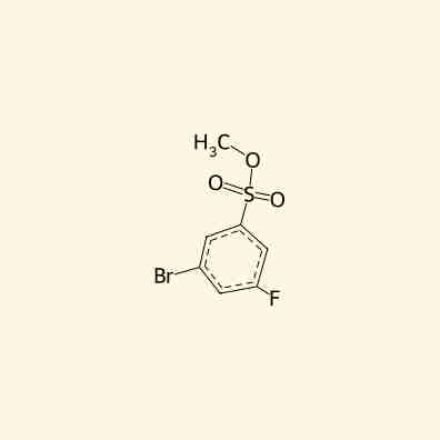 COS(=O)(=O)c1cc(F)cc(Br)c1